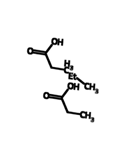 CCC.CCC(=O)O.CCC(=O)O